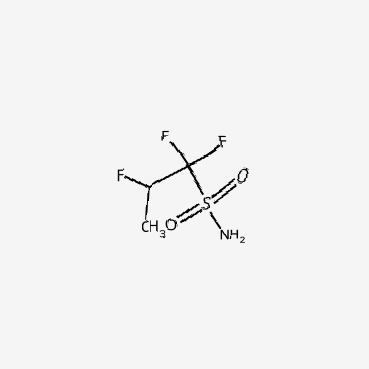 CC(F)C(F)(F)S(N)(=O)=O